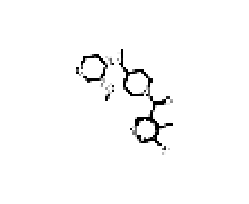 CO[C@@H]1COCC[C@@H]1NC1CCN(C(=O)c2cncc(Br)c2C)CC1